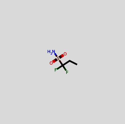 CCC(F)(F)S(N)(=O)=O